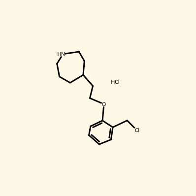 Cl.ClCc1ccccc1OCCC1CCCNCC1